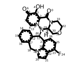 O=C1c2c(O)c(=O)ccn2N([C@@H]2c3ccccc3Cn3ccc4c(F)ccc2c43)[C@@H]2COCCN12